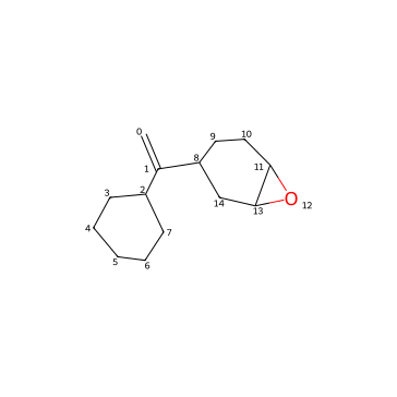 C=C(C1CCCCC1)C1CCC2OC2C1